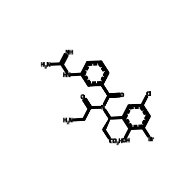 N=C(N)Nc1cccc(C(=O)N(C(=O)CN)[C@H](CC(=O)O)c2cc(Cl)cc(Br)c2O)c1